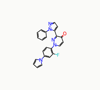 O=c1ccn(-c2ccc(-n3cccc3)cc2F)nc1-c1ccnn1-c1ccccc1